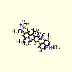 CCC(C)Nc1ccc(N(C)c2ccc(N(C)c3cc(C)c(N(C)c4nccs4)cc3C)c3ccccc23)c2ccccc12